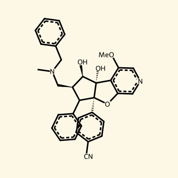 COc1cncc2c1[C@]1(O)[C@H](O)[C@H](CN(C)Cc3ccccc3)C(c3ccccc3)[C@]1(c1ccc(C#N)cc1)O2